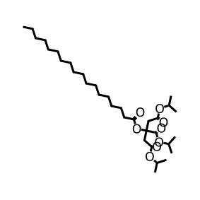 CCCCCCCCCCCCCCCCCC(=O)OC(CC(=O)OC(C)C)(CC(=O)OC(C)C)C(=O)OC(C)C